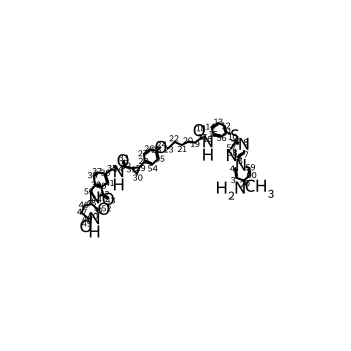 CC1(N)C=CN(c2cnc(Sc3cccc(NC(=O)CCCCCOc4ccc(C5CC5C(=O)NCc5ccc6c(c5)C(=O)N(C5CCC(=O)NC5=O)C6)cc4)c3)cn2)C=C1